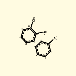 CC(=O)c1ccccc1.Oc1ccccc1Cl